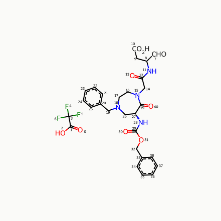 O=C(O)C(F)(F)F.O=CC(CC(=O)O)NC(=O)CN1CCN(Cc2ccccc2)C[C@H](NC(=O)OCc2ccccc2)C1=O